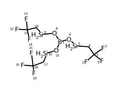 FC(F)(F)C[SiH2]OB(O[SiH2]CC(F)(F)F)O[SiH2]CC(F)(F)F